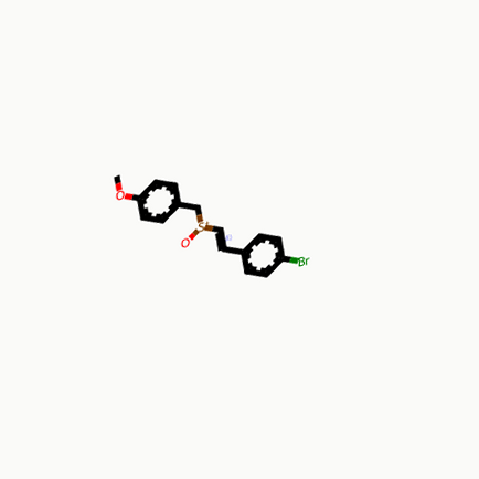 COc1ccc(C[S+]([O-])/C=C/c2ccc(Br)cc2)cc1